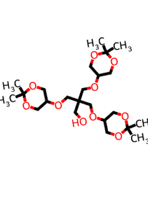 CC1(C)OCC(OCC(CO)(COC2COC(C)(C)OC2)COC2COC(C)(C)OC2)CO1